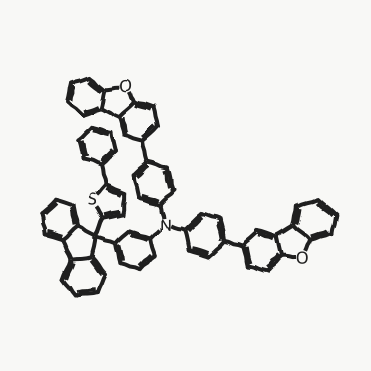 c1ccc(-c2ccc(C3(c4cccc(N(c5ccc(-c6ccc7oc8ccccc8c7c6)cc5)c5ccc(-c6ccc7oc8ccccc8c7c6)cc5)c4)c4ccccc4-c4ccccc43)s2)cc1